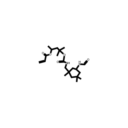 C=CC(=O)OC(C)CC(C)(C)OC(=O)NCC1(C)CC(NC=O)CC(C)(C)C1